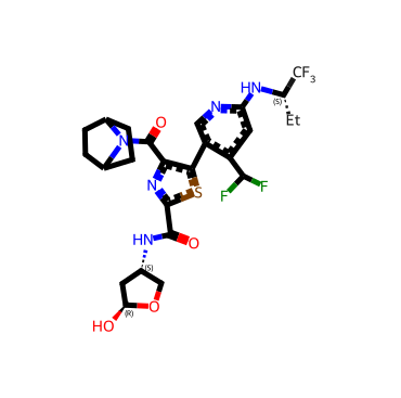 CC[C@H](Nc1cc(C(F)F)c(-c2sc(C(=O)N[C@@H]3CO[C@@H](O)C3)nc2C(=O)N2C3CCC2CC3)cn1)C(F)(F)F